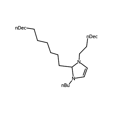 CCCCCCCCCCCCCCCCC1N(CCCC)C=CN1CCCCCCCCCCCC